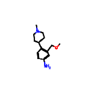 COCc1cc(N)ccc1C1CCN(C)CC1